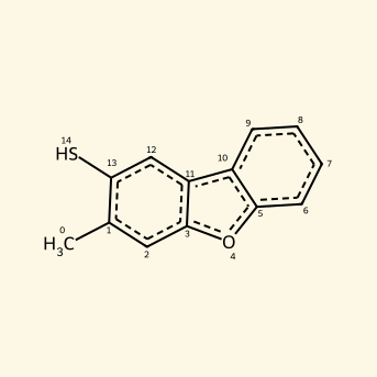 Cc1cc2oc3ccccc3c2cc1S